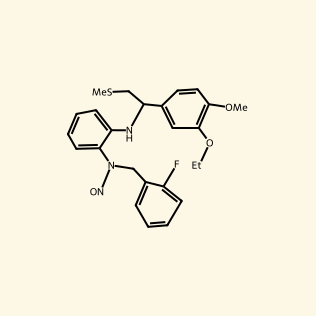 CCOc1cc(C(CSC)Nc2ccccc2N(Cc2ccccc2F)N=O)ccc1OC